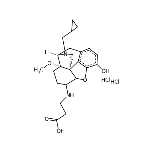 CO[C@@]12CCC(NCCC(=O)O)C3Oc4c(O)ccc5c4[C@@]31CCN(CC1CC1)[C@@H]2C5.Cl.Cl